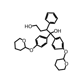 OCCC(c1ccccc1)C(O)(c1ccc(OC2CCCCO2)cc1)c1ccc(OC2CCCCO2)cc1